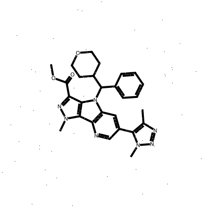 COC(=O)c1nn(C)c2c3ncc(-c4c(C)nnn4C)cc3n(C(c3ccccc3)C3CCOCC3)c12